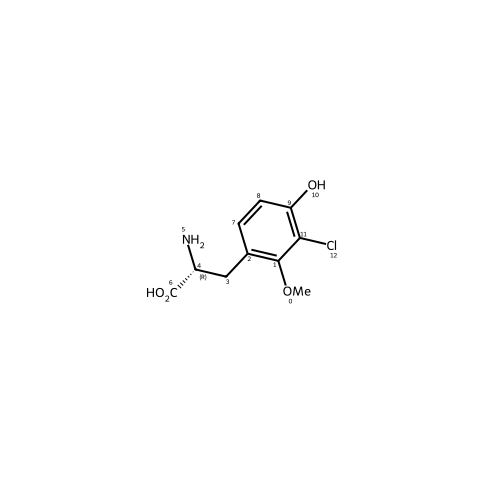 COc1c(C[C@@H](N)C(=O)O)ccc(O)c1Cl